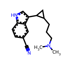 CN(C)CCCC1CC1c1c[nH]c2ccc(C#N)cc12